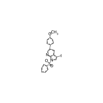 COc1ccc(-c2cnc3c(c2)c(I)cn3S(=O)(=O)c2ccccc2)cc1